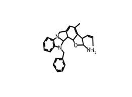 C/C=C\C1C2=C(C)C=C3CN4c5ccccc5N(Cc5ccccc5)C4C3C2OC1N